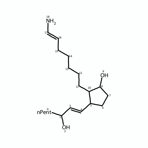 CCCCCC(O)/C=C/C1CCC(O)C1CCCCCC=CN